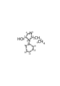 C.Cc1ncc(O)n1-c1ccccc1